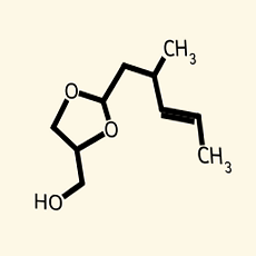 CC=CC(C)CC1OCC(CO)O1